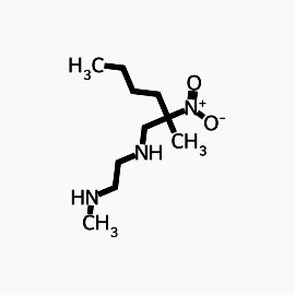 CCCCC(C)(CNCCNC)[N+](=O)[O-]